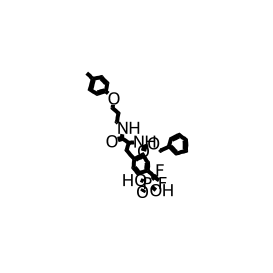 Cc1ccc(OCCCNC(=O)C(Cc2ccc(C(F)(F)P(=O)(O)O)cc2)NC(=O)OCc2ccccc2)cc1